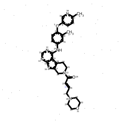 Cc1ccc(Oc2ccc(Nc3ncnc4sc5c(c34)CCN(C(=O)/C=C/CN3CCOCC3)C5)cc2C)cn1